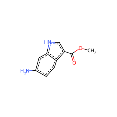 COC(=O)c1c[nH]c2cc(N)ccc12